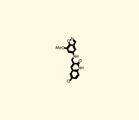 COc1cc(NCc2cc3cc(Cl)ccc3[nH]c2=O)cc2cnoc12